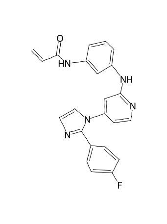 C=CC(=O)Nc1cccc(Nc2cc(-n3ccnc3-c3ccc(F)cc3)ccn2)c1